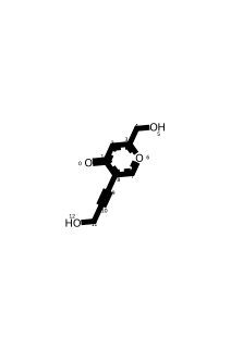 O=c1cc(CO)occ1C#CCO